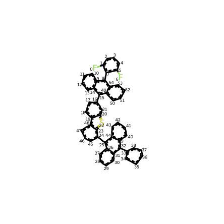 Fc1cccc(F)c1-c1c2ccccc2c(-c2ccc3c(c2)sc2c(-c4c5ccccc5c(-c5ccccc5)c5ccccc45)cccc23)c2ccccc12